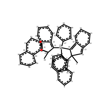 CC1(c2cccc3ccccc23)C=c2ccccc2=C1[Si](C1=c2ccccc2=CC1(C)c1cccc2ccccc12)(c1ccccc1)c1ccccc1